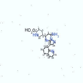 Nc1cc(C2CCC(C(=O)O)NC2)nc2c(-c3cccc4cccnc34)cnn12